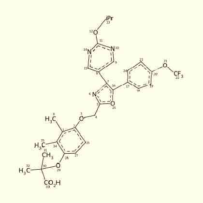 Cc1c(OCc2nc(-c3cnc(OC(C)C)nc3)c(-c3ccc(OC(F)(F)F)cc3)o2)ccc(OC(C)(C)C(=O)O)c1C